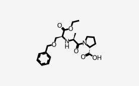 CCOC(=O)[C@H](COCc1ccccc1)N[C@@H](C)C(=O)N1CCC[C@@H]1C(=O)O